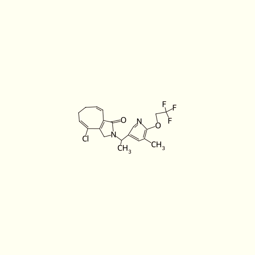 Cc1cc(C(C)N2CC3=C(/C=C\CC/C=C3/Cl)C2=O)cnc1OCC(F)(F)F